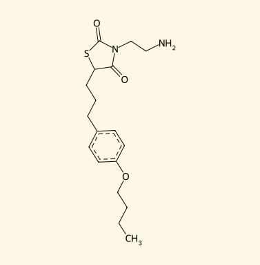 CCCCOc1ccc(CCCC2SC(=O)N(CCN)C2=O)cc1